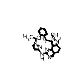 CC(C)n1ccc(Nc2ncc3c(n2)-c2c(nn(C)c2Cc2ccccc2)CC3)n1